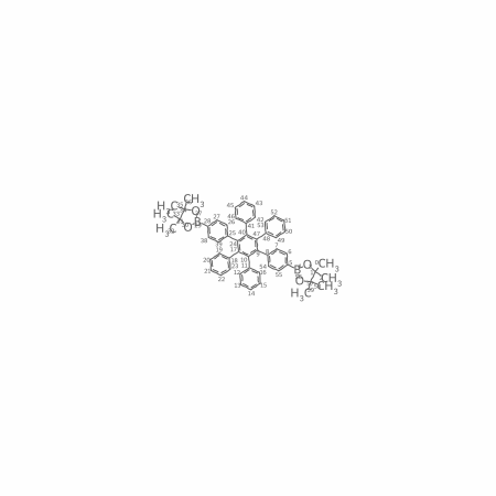 CC1(C)OB(c2ccc(-c3c(-c4ccccc4)c(-c4ccccc4)c(-c4ccc(B5OC(C)(C)C(C)(C)O5)cc4)c(-c4ccccc4)c3-c3ccccc3)cc2)OC1(C)C